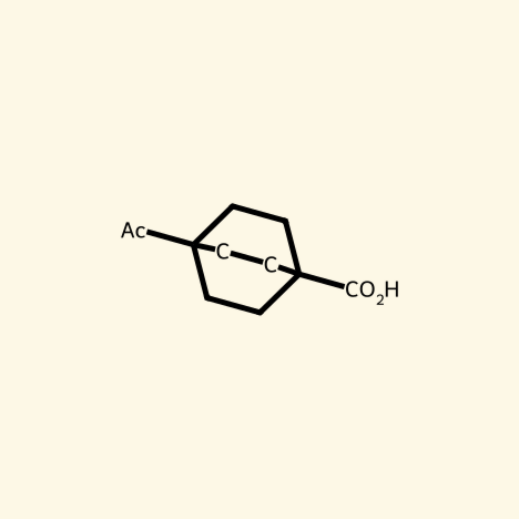 CC(=O)C12CCC(C(=O)O)(CC1)CC2